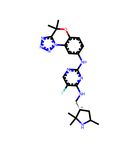 CC1C[C@@H](CNc2nc(Nc3ccc4c(c3)-n3nnnc3C(C)(C)O4)ncc2F)C(C)(C)N1